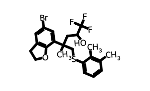 Cc1cccc(SCC(C)(CC(O)C(F)(F)F)c2cc(Br)cc3c2OCC3)c1C